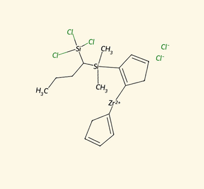 CCCC([Si](Cl)(Cl)Cl)[Si](C)(C)C1=[C]([Zr+2][C]2=CC=CC2)CC=C1.[Cl-].[Cl-]